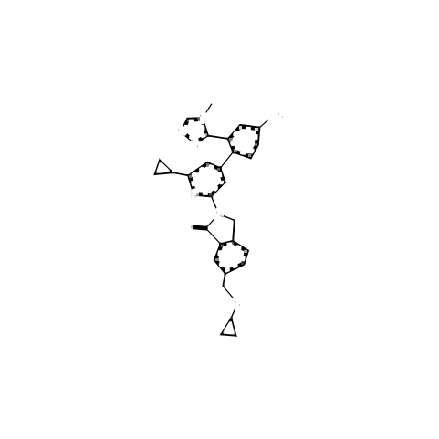 Cn1cnnc1-c1cc(C#N)ccc1-c1cc(C2CC2)nc(N2Cc3ccc(CNC4CC4)cc3C2=O)c1